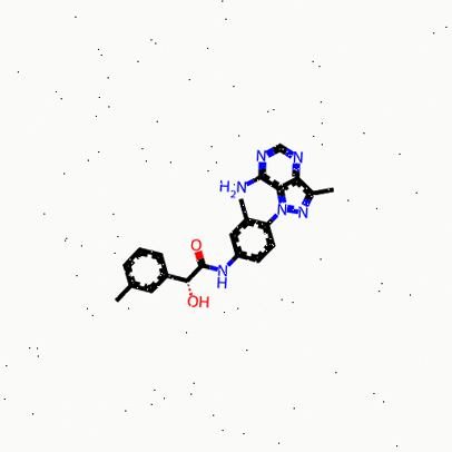 Cc1cccc([C@@H](O)C(=O)Nc2ccc(-n3nc(C)c4ncnc(N)c43)c(C)c2)c1